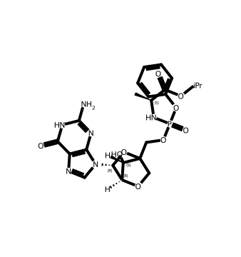 CC(C)OC(=O)[C@H](C)NP(=O)(OCC12CO[C@@H]([C@H](n3cnc4c(=O)[nH]c(N)nc43)O1)[C@@H]2O)Oc1ccccc1